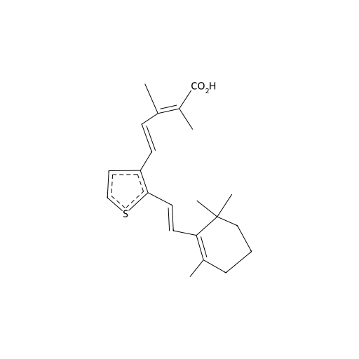 CC(C=Cc1ccsc1C=CC1=C(C)CCCC1(C)C)=C(C)C(=O)O